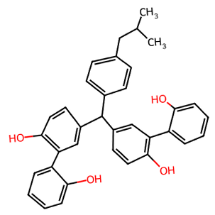 CC(C)Cc1ccc(C(c2ccc(O)c(-c3ccccc3O)c2)c2ccc(O)c(-c3ccccc3O)c2)cc1